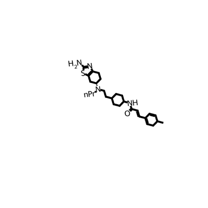 CCCN(CCC1CCC(NC(=O)/C=C/C2=CCC(C)C=C2)CC1)[C@H]1CCc2nc(N)sc2C1